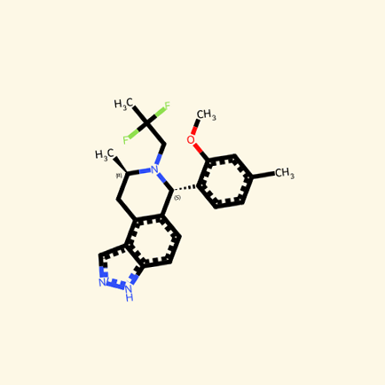 COc1cc(C)ccc1[C@@H]1c2ccc3[nH]ncc3c2C[C@@H](C)N1CC(C)(F)F